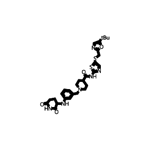 CC(C)(C)c1cnc(CSc2cnc(NC(=O)C3CCN(Cc4cccc(NC5CCC(=O)NC5=O)c4)CC3)s2)o1